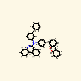 c1ccc(-c2cccc(N(c3ccc(-c4cccc5c4oc4ccccc45)cc3)c3nc4ccccc4c4ccccc34)c2)cc1